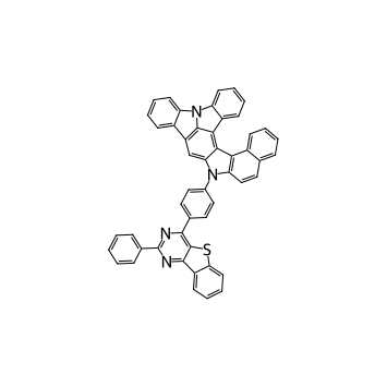 c1ccc(-c2nc(-c3ccc(-n4c5ccc6ccccc6c5c5c6c7ccccc7n7c8ccccc8c(cc54)c67)cc3)c3sc4ccccc4c3n2)cc1